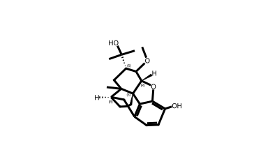 COC1[C@@H](C(C)(C)O)CC2(C)[C@@H]3CCC[C@@]24c2c(ccc(O)c2O[C@@H]14)C3